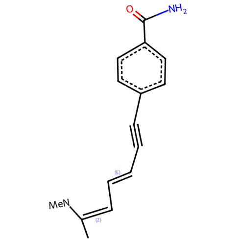 CN/C(C)=C\C=C\C#Cc1ccc(C(N)=O)cc1